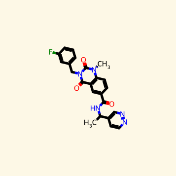 CC(NC(=O)c1ccc2c(c1)c(=O)n(Cc1cccc(F)c1)c(=O)n2C)c1ccnnc1